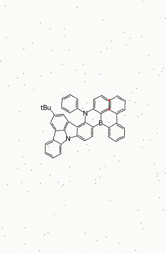 CC(C)(C)c1cc2c3ccccc3n3c4ccc5c(c4c(c1)c23)N(c1ccccc1)c1ccccc1B5c1ccccc1-c1ccccc1